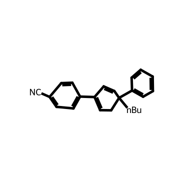 CCCCC1(c2ccccc2)C=CC(c2ccc(C#N)cc2)=CC1